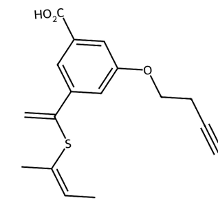 C#CCCOc1cc(C(=C)S/C(C)=C\C)cc(C(=O)O)c1